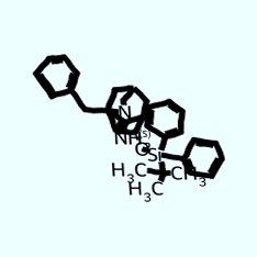 CC(C)(C)[Si](O[C@H]1C2CC3CC(C2N)C1N(Cc1ccccc1)C3)(c1ccccc1)c1ccccc1